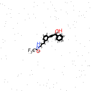 O=C(NCCCc1cccc(C#C[C@@H](O)c2ccccc2)c1)C(F)(F)F